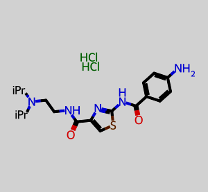 CC(C)N(CCNC(=O)c1csc(NC(=O)c2ccc(N)cc2)n1)C(C)C.Cl.Cl